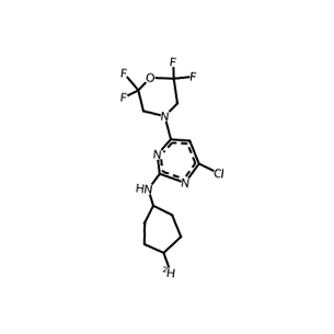 [2H]C1CCC(Nc2nc(Cl)cc(N3CC(F)(F)OC(F)(F)C3)n2)CC1